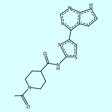 CC(=O)N1CCC(C(=O)Nc2nc(-c3ncnc4[nH]ccc34)cs2)CC1